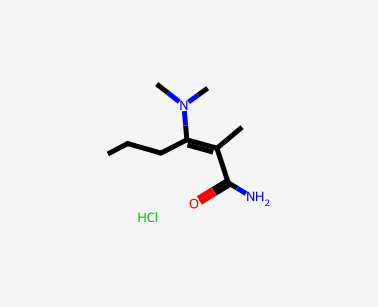 CCCC(=C(C)C(N)=O)N(C)C.Cl